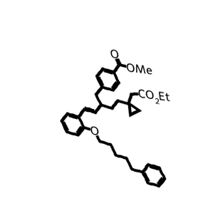 CCOC(=O)CC1(CCC(C=Cc2ccccc2OCCCCCc2ccccc2)Cc2ccc(C(=O)OC)cc2)CC1